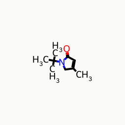 CC1=CC(=O)N(C(C)(C)C)C1